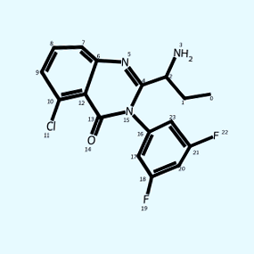 CCC(N)c1nc2cccc(Cl)c2c(=O)n1-c1cc(F)cc(F)c1